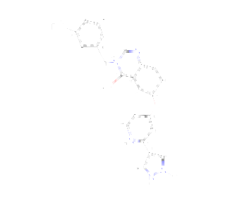 Cn1cc(-c2cc(Oc3ccc4ncn(Cc5cccc(C(F)(F)F)c5)c(=O)c4c3)ccn2)cn1